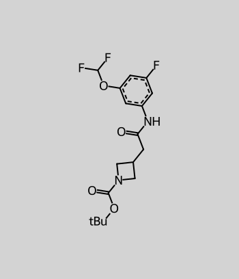 CC(C)(C)OC(=O)N1CC(CC(=O)Nc2cc(F)cc(OC(F)F)c2)C1